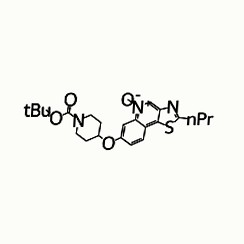 CCCc1nc2c[n+]([O-])c3cc(OC4CCN(C(=O)OC(C)(C)C)CC4)ccc3c2s1